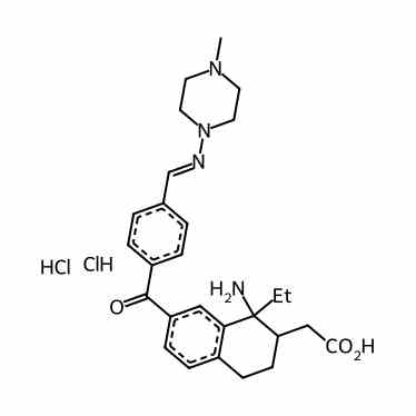 CCC1(N)c2cc(C(=O)c3ccc(C=NN4CCN(C)CC4)cc3)ccc2CCC1CC(=O)O.Cl.Cl